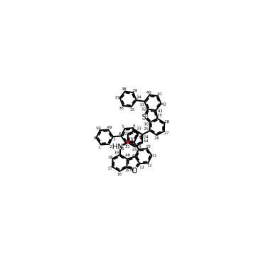 c1ccc(-c2cccc(-c3cccc4oc5cccc(Nc6ccc(-c7cccc8c7sc7c(-c9ccccc9)cccc78)cc6)c5c34)c2)cc1